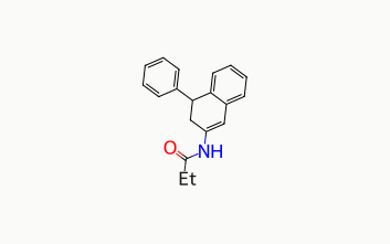 CCC(=O)NC1=Cc2ccccc2C(c2ccccc2)C1